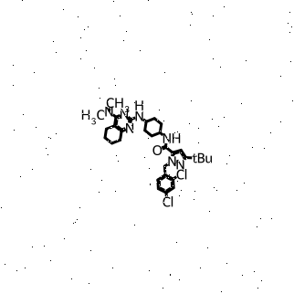 CN(C)c1nc(NC2CCC(NC(=O)c3cc(C(C)(C)C)nn3Cc3ccc(Cl)cc3Cl)CC2)nc2c1CCCC2